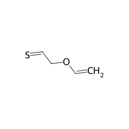 C=COCC=S